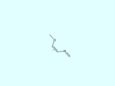 C=N/C=C\OC